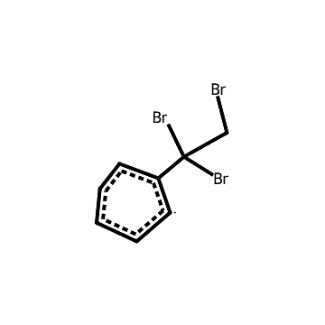 BrCC(Br)(Br)c1[c]cccc1